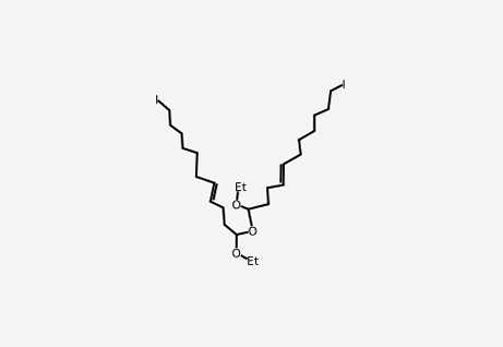 CCOC(CCC=CCCCCCCI)OC(CCC=CCCCCCCI)OCC